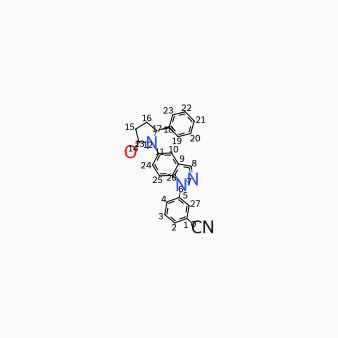 N#Cc1cccc(-n2ncc3cc(N4C(=O)CC[C@H]4c4ccccc4)ccc32)c1